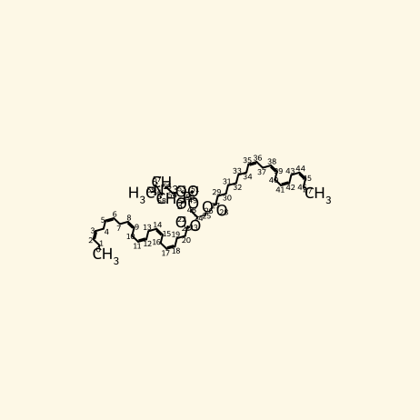 CC/C=C\C/C=C\C/C=C\C/C=C\C/C=C\C/C=C\CCC(=O)O[C@H](COC(=O)CCCCCC/C=C\C/C=C\C/C=C\C/C=C\CC)COP(=O)([O-])OCC[N+](C)(C)C